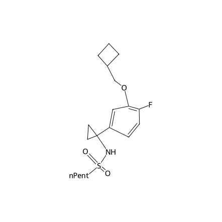 CCCCCS(=O)(=O)NC1(c2ccc(F)c(OCC3CCC3)c2)CC1